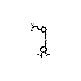 CC(=O)c1ccc(OCCCOc2cccc(C=CC(=O)O)c2)c(C)c1O